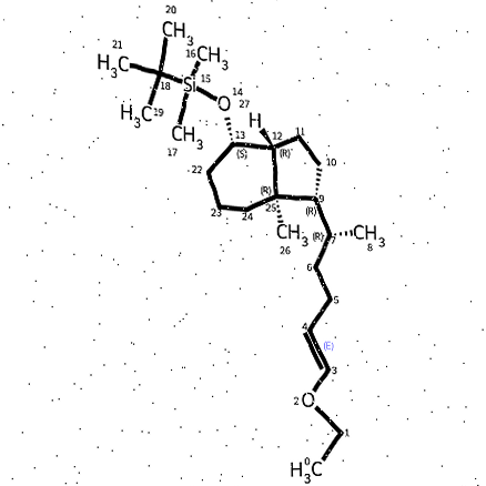 CCO/C=C/CC[C@@H](C)[C@H]1CC[C@H]2[C@@H](O[Si](C)(C)C(C)(C)C)CCC[C@]12C